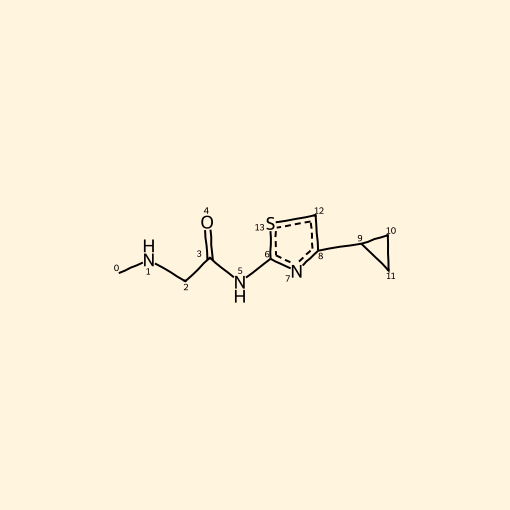 CNCC(=O)Nc1nc(C2CC2)cs1